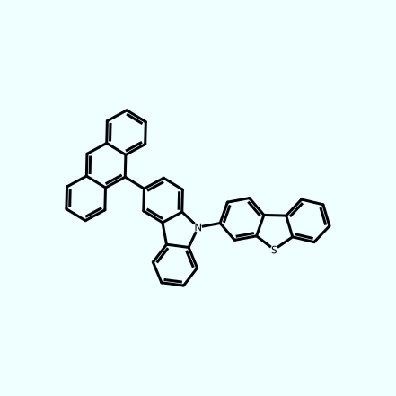 c1ccc2c(-c3ccc4c(c3)c3ccccc3n4-c3ccc4c(c3)sc3ccccc34)c3ccccc3cc2c1